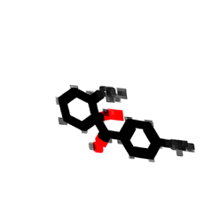 COc1ccc(C(=O)C2(O)CCCCC2C(=O)O)cc1